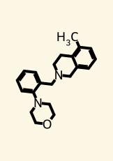 Cc1cccc2c1CCN(Cc1ccccc1N1CCOCC1)C2